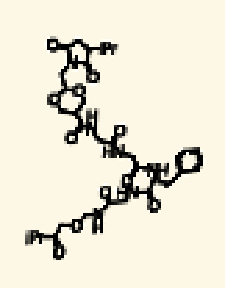 CC(C)C(=O)COCNC(=O)CNC(=O)[C@H](Cc1ccccc1)NC(=O)CNC(=O)CNC(=O)C1COC(CN2C(=O)CC(C(C)C)C2=O)OC1